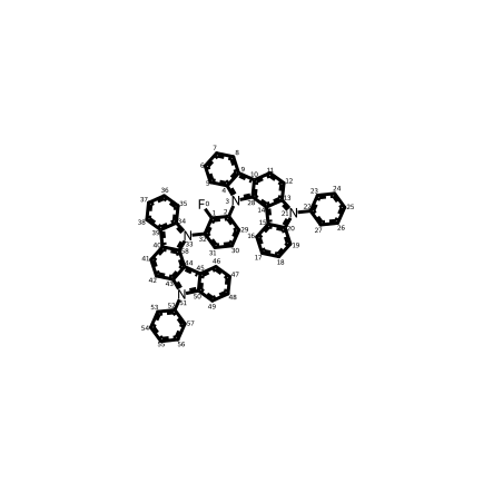 Fc1c(-n2c3ccccc3c3ccc4c(c5ccccc5n4-c4ccccc4)c32)cccc1-n1c2ccccc2c2ccc3c(c4ccccc4n3-c3ccccc3)c21